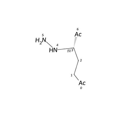 CC(=O)CC[C@H](NN)C(C)=O